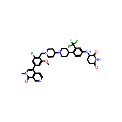 COc1cc(-c2cn(C)c(=O)c3cnccc23)cc(F)c1CN1CCC(N2CCC(c3ccc(NC4CCC(=O)NC4=O)cc3C(F)(F)F)CC2)CC1